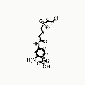 Nc1cc(NC(=O)CCCS(=O)(=O)CCCl)ccc1S(=O)(=O)O